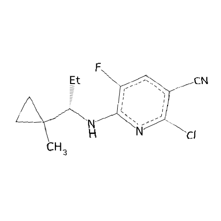 CC[C@H](Nc1nc(Cl)c(C#N)cc1F)C1(C)CC1